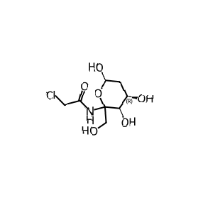 O=C(CCl)NC1(CO)OC(O)C[C@@H](O)C1O